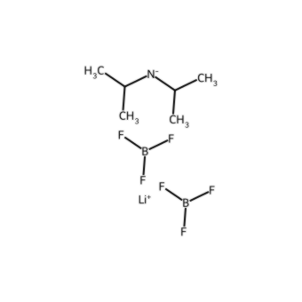 CC(C)[N-]C(C)C.FB(F)F.FB(F)F.[Li+]